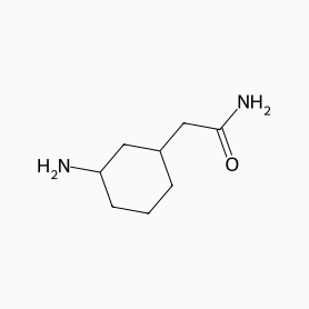 NC(=O)CC1CCCC(N)C1